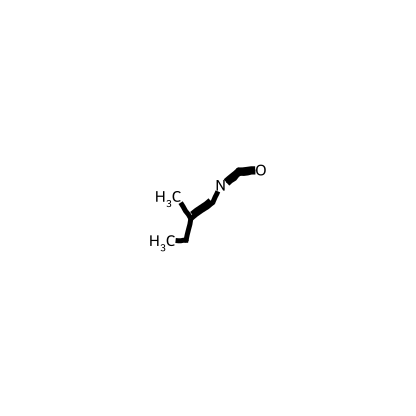 CC/C(C)=C/N=C=O